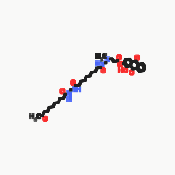 CC(=O)CCCCCCCCC(=O)NCNC(=O)CCCCCCCCC(=O)NCN(C)CCC(=O)Oc1ccc2c(c1O)C(=O)c1ccccc1C2=O